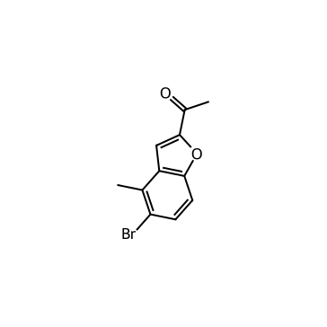 CC(=O)c1cc2c(C)c(Br)ccc2o1